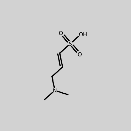 CN(C)CC=CS(=O)(=O)O